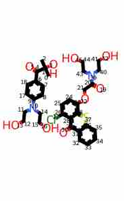 CC(C)(O)C(=O)c1ccc(N(CCO)CCO)cc1.O=C(COc1ccc(Cl)c2c(=O)c3ccccc3sc12)N(CCO)CCO